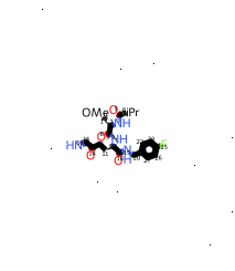 COC[C@H](NC(=O)C(C)C)C(=O)N[C@@H](CCC(=O)C=N)C(=O)NCc1ccc(F)cc1